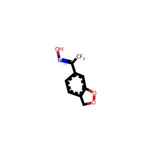 O/N=C(/c1ccc2c(c1)OOC2)C(F)(F)F